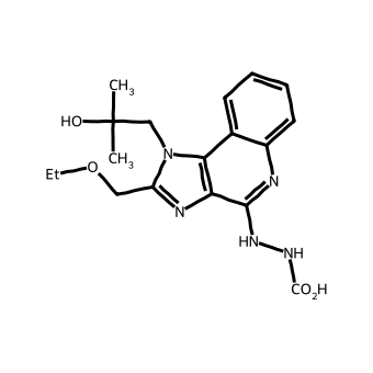 CCOCc1nc2c(NNC(=O)O)nc3ccccc3c2n1CC(C)(C)O